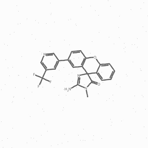 CN1C(=O)C2(N=C1N)c1ccccc1Oc1ccc(-c3cncc(C(F)(F)F)c3)cc12